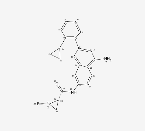 Nc1nc(-c2cnccc2C2CC2)cc2cc(NC(=O)[C@@H]3C[C@@H]3F)ncc12